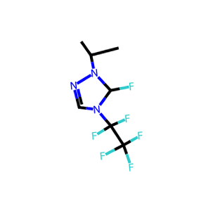 CC(C)N1N=CN(C(F)(F)C(F)(F)F)C1F